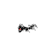 Cc1cc(CC2COc3c(cc(Cn4ccnc4C)cc3-c3cn(C)nc3C(F)(F)F)C2=O)nc(N2CC(N(C)C(=O)OC(C)(C)C)C2)c1